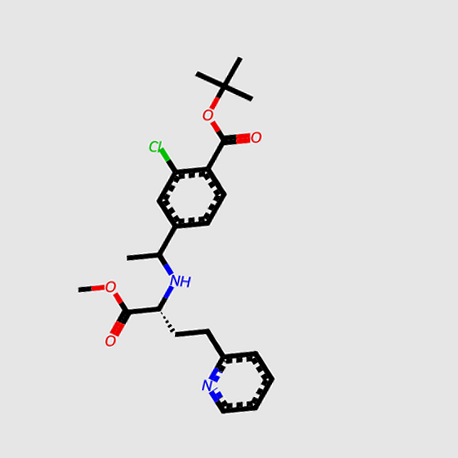 COC(=O)[C@@H](CCc1ccccn1)NC(C)c1ccc(C(=O)OC(C)(C)C)c(Cl)c1